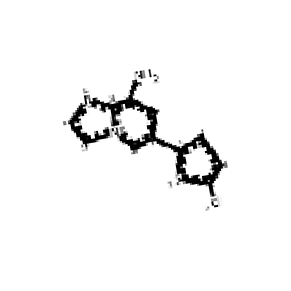 Nc1cc(-c2ccc(Cl)s2)cn2ccnc12